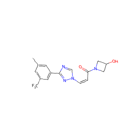 Cc1cc(-c2ncn(/C=C\C(=O)N3CC(O)C3)n2)cc(C(F)(F)F)c1